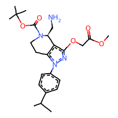 COC(=O)COc1nn(-c2ccc(C(C)C)cc2)c2c1[C@H](CN)N(C(=O)OC(C)(C)C)CC2